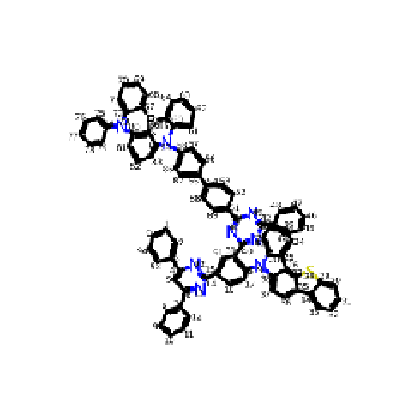 c1ccc(-c2cc(-c3ccccc3)nc(-c3ccc(-n4c5ccccc5c5c6sc7ccccc7c6ccc54)c(-c4nc(-c5ccccc5)nc(-c5ccc(-c6ccc(N7c8ccccc8B8c9ccccc9N(c9ccccc9)c9cccc7c98)cc6)cc5)n4)c3)n2)cc1